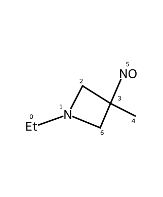 CCN1CC(C)(N=O)C1